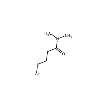 CC(=O)SCCC(=O)N(C)C